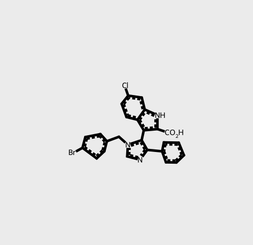 O=C(O)c1[nH]c2cc(Cl)ccc2c1-c1c(-c2ccccc2)ncn1Cc1ccc(Br)cc1